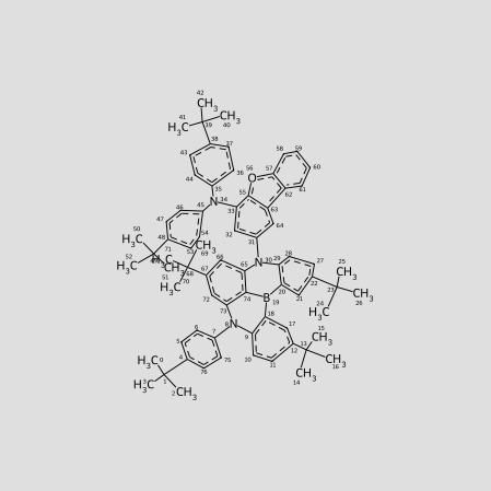 CC(C)(C)c1ccc(N2c3ccc(C(C)(C)C)cc3B3c4cc(C(C)(C)C)ccc4N(c4cc(N(c5ccc(C(C)(C)C)cc5)c5ccc(C(C)(C)C)cc5)c5oc6ccccc6c5c4)c4cc(C(C)(C)C)cc2c43)cc1